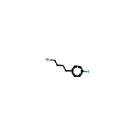 Fc1ccc(CCC[CH2][Sb])cc1